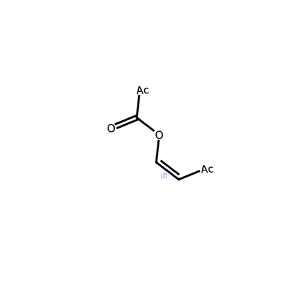 CC(=O)/C=C\OC(=O)C(C)=O